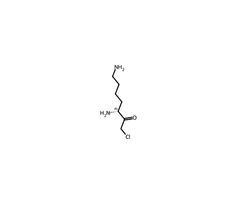 NCCCC[C@@H](N)C(=O)CCl